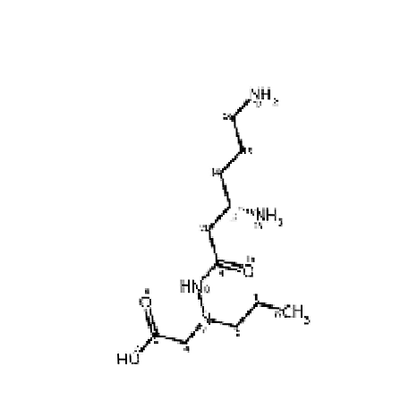 CCCN(CC(=O)O)NC(=O)C[C@@H](N)CCCN